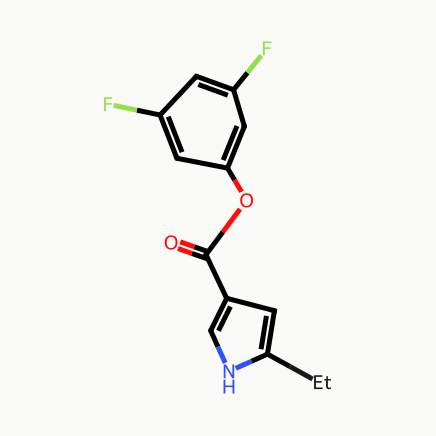 CCc1cc(C(=O)Oc2cc(F)cc(F)c2)c[nH]1